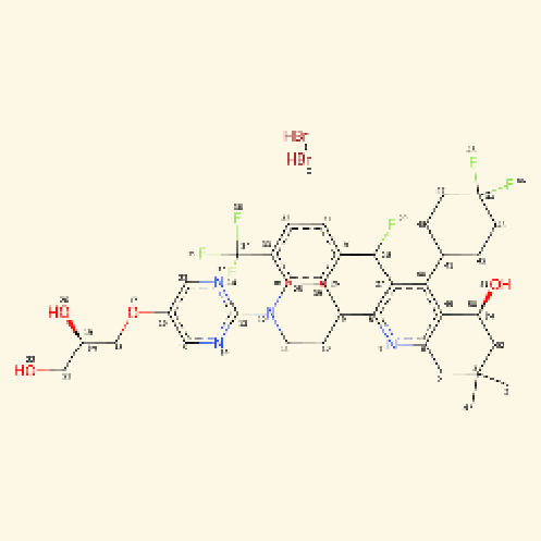 Br.Br.CC1(C)Cc2nc(C3CCN(c4ncc(OC[C@H](O)CO)cn4)CC3)c(C(F)c3ccc(C(F)(F)F)cc3)c(C3CCC(F)(F)CC3)c2[C@@H](O)C1